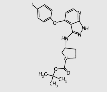 CC(C)(C)OC(=O)N1CC[C@@H](Nc2n[nH]c3nccc(Oc4ccc(I)cc4)c23)C1